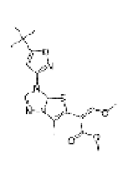 CO/C=C(\C(=O)OC)C1=C(C)N2N=CN(c3cc(C(C)(C)C)on3)C2S1